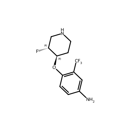 Nc1ccc(O[C@@H]2CCNC[C@H]2F)c(C(F)(F)F)c1